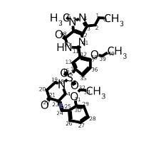 CCCc1nn(C)c2c(=O)[nH]c(-c3cc(S(=O)(=O)N4CCC(=O)/C(=C/c5ccccc5OCC)C4)ccc3OCC)nc12